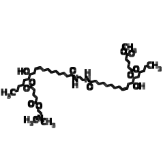 CCCCCC(OC(=O)CCCC(=O)OC)C(O)C/C=C\CCCCCCCC(=O)NCCNC(=O)CCCCCCC/C=C\CC(O)C(CCCCC)OC(=O)CCCC(=O)OCCN(C)C